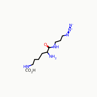 [N-]=[N+]=NCCCNC(=O)C(N)CCCCNC(=O)O